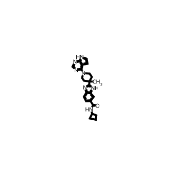 CC1(c2nc3ccc(C(=O)NC4CCC4)cc3[nH]2)CCN(c2ncnc3[nH]ccc23)CC1